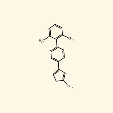 Cc1nc(-c2ccc(-c3c(C)cccc3C)nc2)cs1